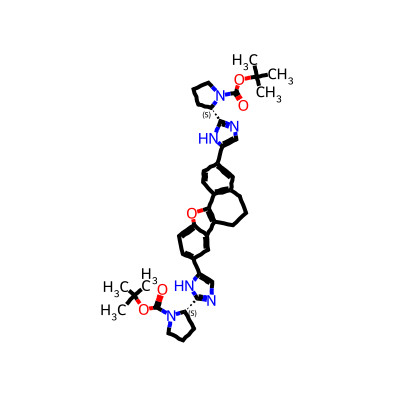 CC(C)(C)OC(=O)N1CCC[C@H]1c1ncc(-c2ccc3c(c2)CCCc2c-3oc3ccc(-c4cnc([C@@H]5CCCN5C(=O)OC(C)(C)C)[nH]4)cc23)[nH]1